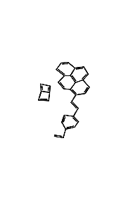 C=Cc1ccc(C=Cc2ccc3ccc4cccc5ccc2c3c45)cc1.c1cc2ccc1-2